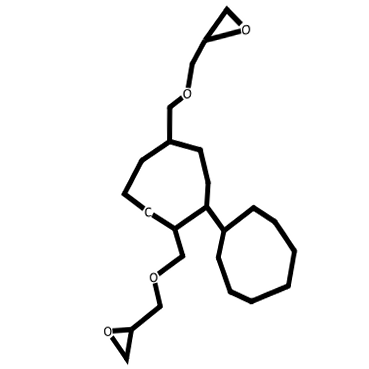 C1CCCC(C2CCC(COCC3CO3)CCCC2COCC2CO2)CCC1